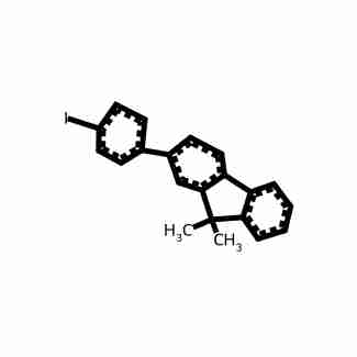 CC1(C)c2ccccc2-c2ccc(-c3ccc(I)cc3)cc21